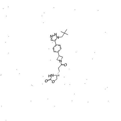 CC(C)(C)Cn1nncc1-c1ccc(C2CN(C(=O)CC[C@@H]3COC(=O)N3)C2)cc1